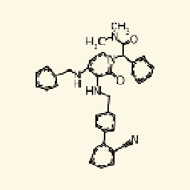 CN(C)C(=O)C(c1ccccc1)n1ccc(NCc2ccccc2)c(NCc2ccc(-c3ccccc3C#N)cc2)c1=O